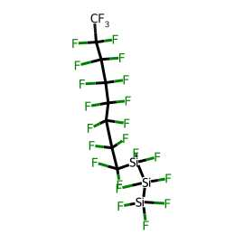 FC(F)(F)C(F)(F)C(F)(F)C(F)(F)C(F)(F)C(F)(F)C(F)(F)C(F)(F)[Si](F)(F)[Si](F)(F)[Si](F)(F)F